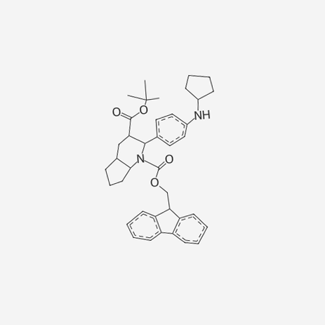 CC(C)(C)OC(=O)C1CC2CCCC2N(C(=O)OCC2c3ccccc3-c3ccccc32)C1c1ccc(NC2CCCC2)cc1